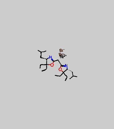 CCC1(CC)OC(CC2=N[C@H](CC(C)C)C(CC)(CC)O2)=N[C@@H]1CC(C)C.[Br-].[Br-].[Ni+2]